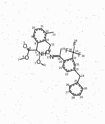 CONC(C(=O)OC)c1cccc(C)c1CO/N=C(\C)c1ccc(Cc2ccccc2)cc1C(F)(F)F